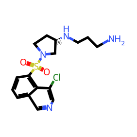 NCCCN[C@H]1CCN(S(=O)(=O)c2cccc3cncc(Cl)c23)C1